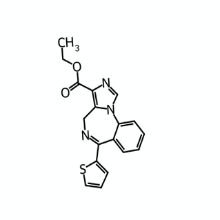 CCOC(=O)c1ncn2c1CN=C(c1cccs1)c1ccccc1-2